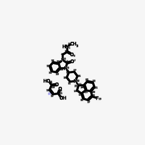 CNC(=O)Cn1c(=O)n(C2CCN([C@@H]3Cc4ccc(F)c5cccc3c45)CC2)c2ccccc21.O=C(O)/C=C\C(=O)O